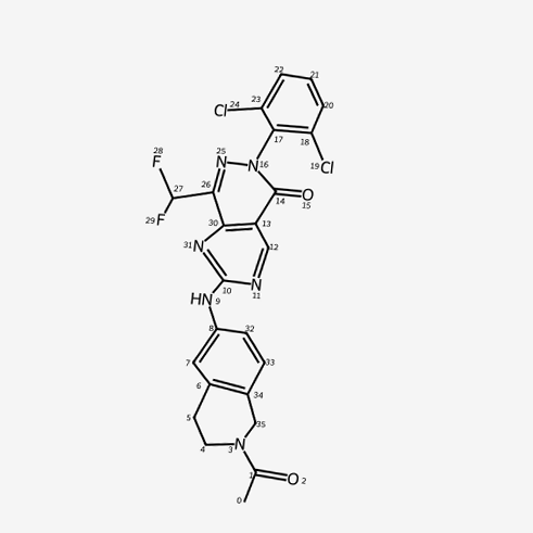 CC(=O)N1CCc2cc(Nc3ncc4c(=O)n(-c5c(Cl)cccc5Cl)nc(C(F)F)c4n3)ccc2C1